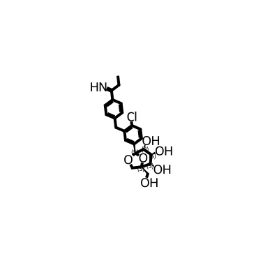 CCC(=N)c1ccc(Cc2cc([C@]34OC[C@](CO)(O3)[C@@H](O)[C@H](O)[C@H]4O)ccc2Cl)cc1